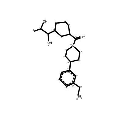 CC(O)C(O)C1CCCC(C(=O)N2CCC(c3cccc(CN)c3)CC2)C1